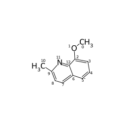 COc1cc[c]c2ccc(C)nc12